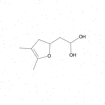 CC1=C(C)OC(CC(O)O)C1